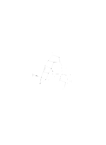 CCC[Si]1(OC)OC2CCC3C4=C5C(C6C[C@H]56)[C@@]4(O1)C23